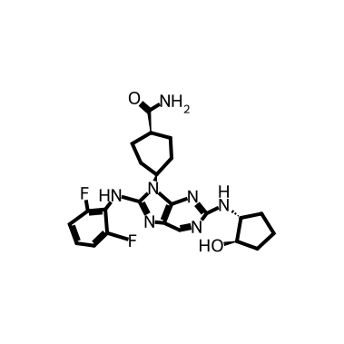 NC(=O)[C@H]1CC[C@@H](n2c(Nc3c(F)cccc3F)nc3cnc(N[C@@H]4CCC[C@H]4O)nc32)CC1